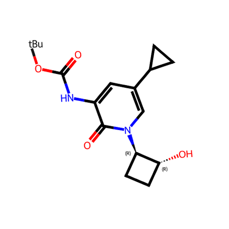 CC(C)(C)OC(=O)Nc1cc(C2CC2)cn([C@@H]2CC[C@H]2O)c1=O